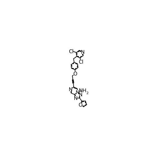 N[N+]12C=C(C#CCOc3ccc(Cc4c(Cl)cncc4Cl)cc3)N=CC1=NC(c1ccco1)=N2